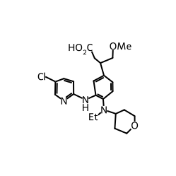 CCN(c1ccc(C(COC)CC(=O)O)cc1Nc1ccc(Cl)cn1)C1CCOCC1